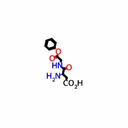 N[C@@H](CC(=O)O)C(=O)NCC(=O)Oc1ccccc1